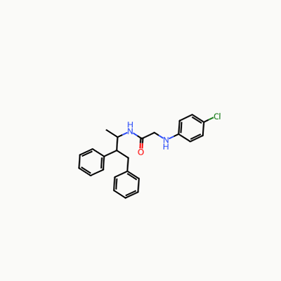 CC(NC(=O)CNc1ccc(Cl)cc1)C(Cc1ccccc1)c1ccccc1